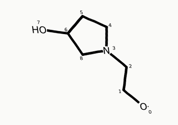 [O]CCN1CCC(O)C1